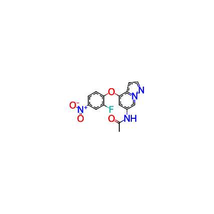 CC(=O)Nc1cc(Oc2ccc([N+](=O)[O-])cc2F)c2ccnn2c1